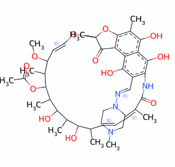 COC1/C=C/OC2(C)Oc3c(C)c(O)c4c(O)c(c(/C=N/N5CCN(C)CC5)c(O)c4c3C2=O)NC(=O)/C(C)=C\C=C\C(C)C(O)C(C)C(O)C(C)C(OC(C)=O)C1C